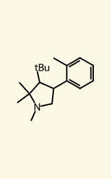 Cc1ccccc1C1CN(C)C(C)(C)C1C(C)(C)C